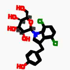 OC[C@H]1O[C@@H](n2cc(Cc3ccc(O)cc3)c3c(Cl)ccc(Cl)c32)[C@H](O)[C@@H](O)[C@@H]1O